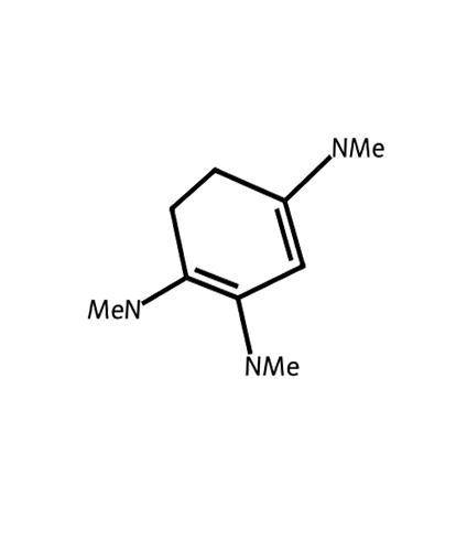 CNC1=CC(NC)=C(NC)CC1